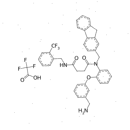 NCc1cccc(Oc2ccccc2N(Cc2ccc3c(c2)Cc2ccccc2-3)C(=O)CCC(=O)NCc2ccccc2C(F)(F)F)c1.O=C(O)C(F)(F)F